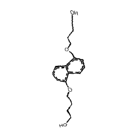 OCCCCOc1cccc2c(OCCCCO)cccc12